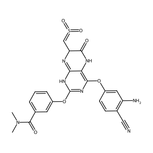 CN(C)C(=O)c1cccc(OC2=NC(Oc3ccc(C#N)c(N)c3)=C3NC(=O)C(C=S(=O)=O)N=C3N2)c1